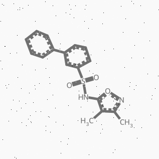 Cc1noc(NS(=O)(=O)c2cccc(-c3ccccc3)c2)c1C